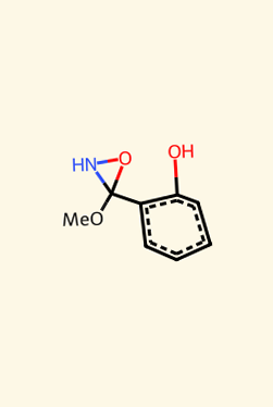 COC1(c2ccccc2O)NO1